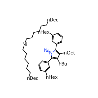 CCCCCCCCC1=C(c2cccc(CCCCCC)c2)[N+](=[N-])C(c2cccc(CCCCCC)c2)=C1CCCC.CCCCCCCCCCCCCCC[CH2][Ni][CH2]CCCCCCCCCCCCCCC